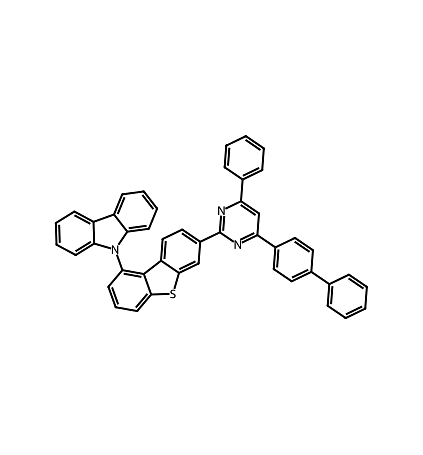 c1ccc(-c2ccc(-c3cc(-c4ccccc4)nc(-c4ccc5c(c4)sc4cccc(-n6c7ccccc7c7ccccc76)c45)n3)cc2)cc1